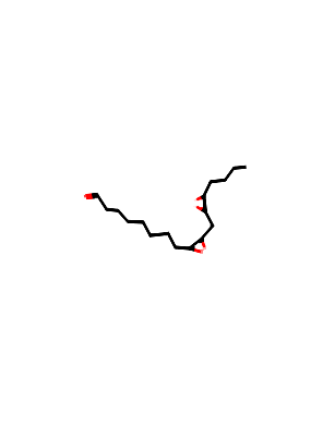 CCCCC1OC1CC1OC1CCCCCCCC=O